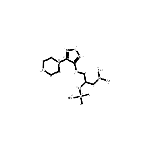 CC(=O)N(CC(COc1nsnc1N1CCOCC1)O[Si](C)(C)C(C)(C)C)C(C)(C)C